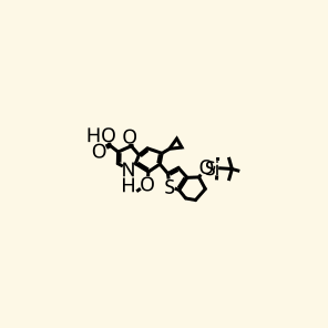 COc1c(-c2cc3c(s2)CCCC3O[Si](C)(C)C(C)(C)C)c(C2CC2)cc2c(=O)c(C(=O)O)c[nH]c12